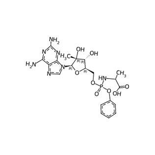 CC(NP(=O)(OC[C@H]1O[C@@H](n2cnc3c(N)nc(N)nc32)[C@](C)(O)[C@@H]1O)Oc1ccccc1)C(=O)O